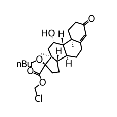 CCCCO[C@]1(C(=O)OCCl)CC[C@H]2[C@@H]3CCC4=CC(=O)CC[C@]4(C)[C@H]3[C@@H](O)C[C@@]21C